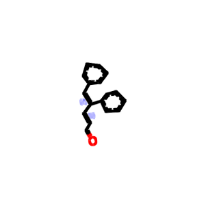 O=C/C=C/C(=C/c1ccccc1)c1ccccc1